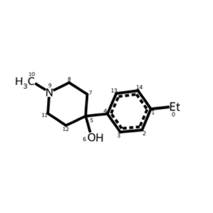 CCc1ccc(C2(O)CCN(C)CC2)cc1